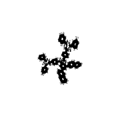 c1ccc(-c2nc(-c3ccccc3)nc(-c3ccc(-c4nc(-c5ccc(-c6nc(-c7ccccc7)nc(-c7ccccc7)n6)cc5)c5cc(-c6ccc7ccccc7c6)cc(-c6ccc7ccccc7c6)c5n4)cc3)n2)cc1